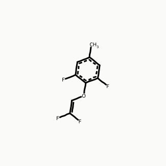 Cc1cc(F)c(OC=C(F)F)c(F)c1